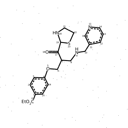 CCOC(=O)c1ccc(OCC(CNCc2cccnc2)C(=O)C2NCCS2)cc1